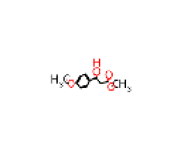 COC(=O)CC(O)c1ccc(OC)cc1